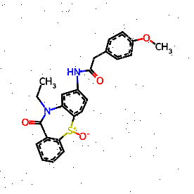 CCN1C(=O)c2ccccc2[S+]([O-])c2ccc(NC(=O)Cc3ccc(OC)cc3)cc21